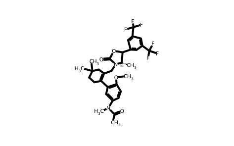 COc1ccc(N(C)C(C)=O)cc1C1=C(CN2C(=O)OC(c3cc(C(F)(F)F)cc(C(F)(F)F)c3)[C@@H]2C)CC(C)(C)CC1